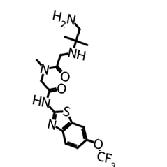 CN(CC(=O)Nc1nc2ccc(OC(F)(F)F)cc2s1)C(=O)CNC(C)(C)CN